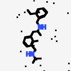 CCc1ccccc1CNC(C)Cc1cccc(CNC(C)C)c1C